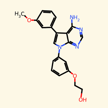 COc1cccc(-c2cn(-c3cccc(OCCO)c3)c3ncnc(N)c23)c1